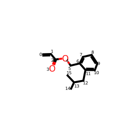 C=CC(=O)OCc1ccccc1CC(C)C